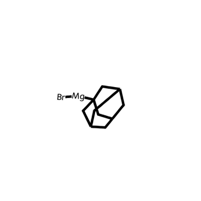 [Br][Mg][C]12CC3CC(CC(C3)C1)C2